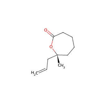 C=CC[C@@]1(C)CCCCC(=O)O1